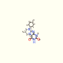 Cc1ccc(N2CC(C)Cn3c2nc2c3c(=O)[nH]c(=O)n2C)cc1